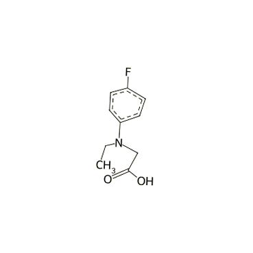 CCN(CC(=O)O)c1ccc(F)cc1